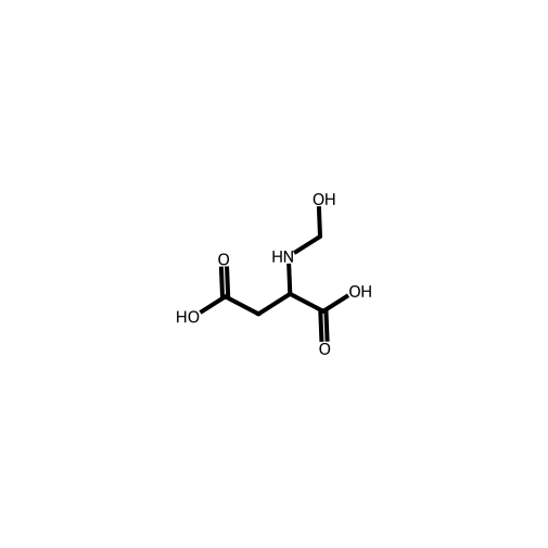 O=C(O)CC(NCO)C(=O)O